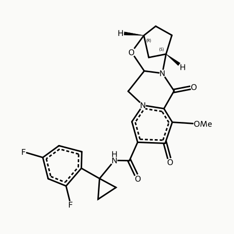 COc1c2n(cc(C(=O)NC3(c4ccc(F)cc4F)CC3)c1=O)CC1O[C@@H]3CC[C@@H](C3)N1C2=O